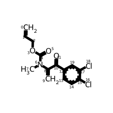 C=CCOC(=O)N(C)C(=C)C(=O)c1ccc(Cl)c(Cl)c1